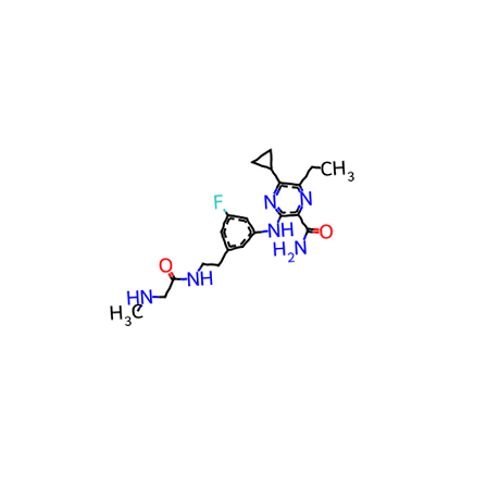 CCc1nc(C(N)=O)c(Nc2cc(F)cc(CCNC(=O)CNC)c2)nc1C1CC1